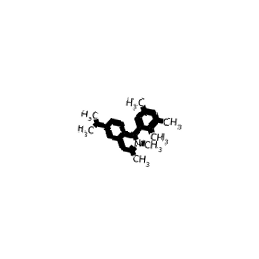 Cc1cc(C)c(C)c(-c2c3ccc(C(C)C)cc3cc(C)[n+]2C)c1